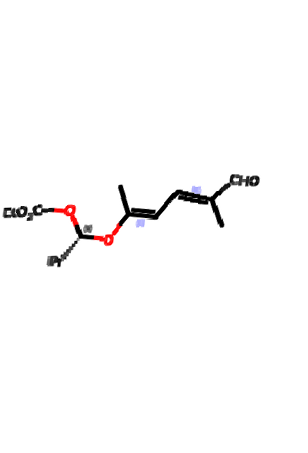 CCOC(=O)O[C@H](O/C(C)=C/C=C(\C)C=O)C(C)C